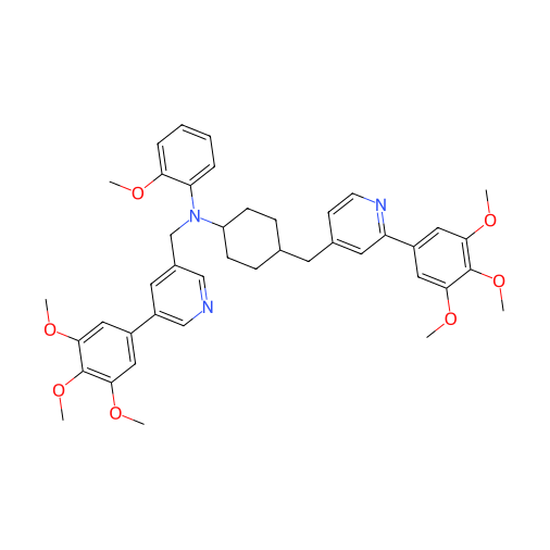 COc1ccccc1N(Cc1cncc(-c2cc(OC)c(OC)c(OC)c2)c1)C1CCC(Cc2ccnc(-c3cc(OC)c(OC)c(OC)c3)c2)CC1